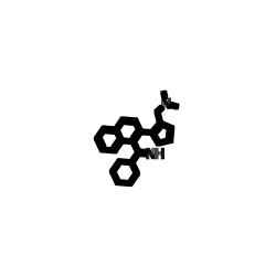 CN(C)CC1=C(c2ccc3ccccc3c2C(=N)C2CCCCC2)CC=C1